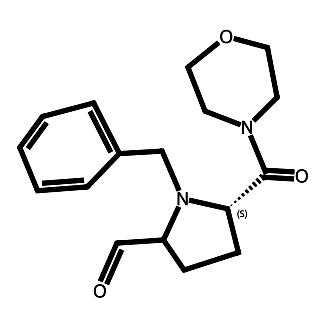 O=CC1CC[C@@H](C(=O)N2CCOCC2)N1Cc1ccccc1